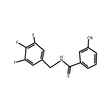 N#Cc1cccc(C(=S)NCc2cc(F)c(F)c(F)c2)c1